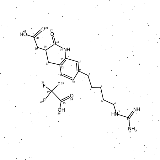 N=C(N)NCCCCCc1ccc2c(c1)NC(=O)C(CC(=O)O)C2.O=C(O)C(F)(F)F